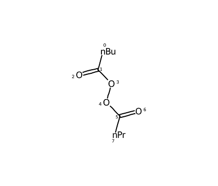 CCCCC(=O)OOC(=O)CCC